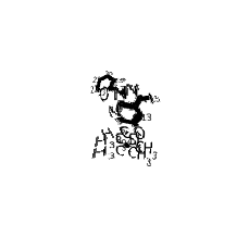 CC(C)(C)[Si](C)(C)Oc1cnc2c(c1)c(I)nn2C1CCCCO1